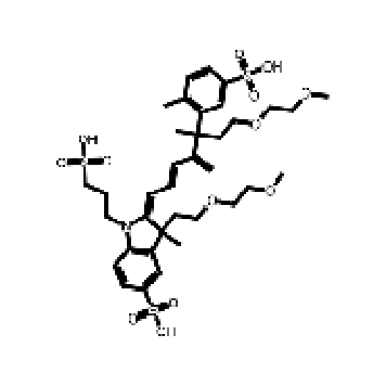 C=C(/C=C/C=C1/N(CCCS(=O)(=O)O)c2ccc(S(=O)(=O)O)cc2C1(C)CCOCCOC)C(C)(CCOCCOC)c1cc(S(=O)(=O)O)ccc1C